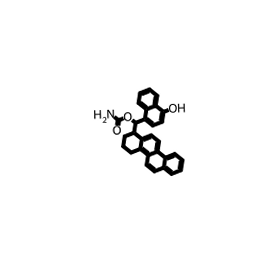 NC(=O)OC(c1ccc(O)c2ccccc12)C1CCCc2c1ccc1c2ccc2ccccc21